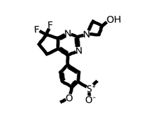 COc1ccc(-c2nc(N3CC(O)C3)nc3c2CCC3(F)F)cc1[S+](C)[O-]